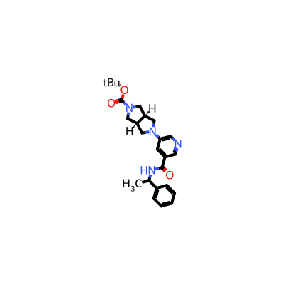 CC(NC(=O)c1cncc(N2C[C@H]3CN(C(=O)OC(C)(C)C)C[C@H]3C2)c1)c1ccccc1